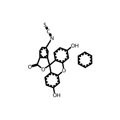 O=C1OC2(c3ccc(O)cc3Oc3cc(O)ccc32)c2cc(N=C=S)ccc21.c1ccccc1